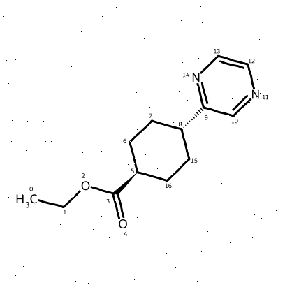 CCOC(=O)[C@H]1CC[C@H](c2cnccn2)CC1